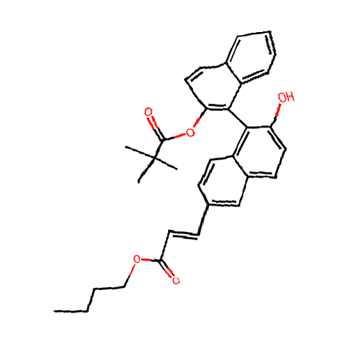 CCCCOC(=O)/C=C/c1ccc2c(-c3c(OC(=O)C(C)(C)C)ccc4ccccc34)c(O)ccc2c1